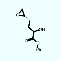 CC(C)(C)OC(=O)C(O)CC[C@H]1CO1